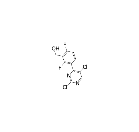 OCc1c(F)ccc(-c2nc(Cl)ncc2Cl)c1F